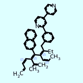 C=C\C=C/C(C(=C)C)=C(C(/C=C\C)=C(/CC)Cc1cccc(-c2cc(-c3ccncc3)ccn2)c1)\c1ccc2ccccc2c1